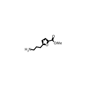 COC(=O)c1ccc(CCCN)o1